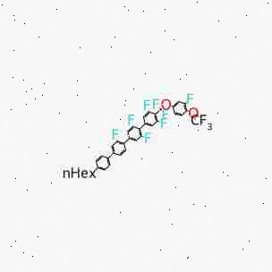 CCCCCCc1ccc(-c2ccc(-c3cc(F)c(-c4cc(F)c(C(F)(F)Oc5ccc(OC(F)(F)F)c(F)c5)c(F)c4)c(F)c3)c(F)c2)cc1